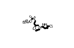 CN(CCC1CN(c2ccc(Cl)nn2)CCO1)C(=O)OC(C)(C)C